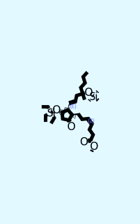 CCCCC(C)(C/C=C/[C@H]1[C@H](O[Si](CC)(CC)CC)CC(=O)[C@@H]1CC/C=C\CCC(=O)OC)O[Si](C)(C)C